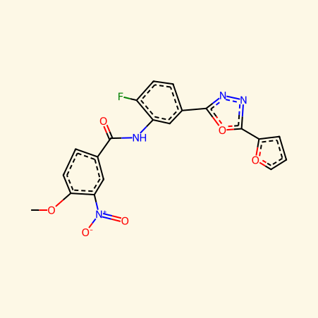 COc1ccc(C(=O)Nc2cc(-c3nnc(-c4ccco4)o3)ccc2F)cc1[N+](=O)[O-]